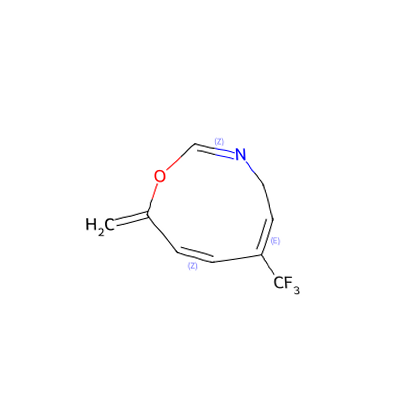 C=C1/C=C\C(C(F)(F)F)=C/C/N=C\O1